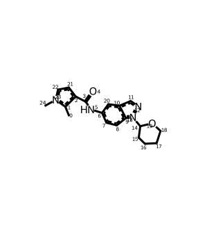 Cc1c(C(=O)Nc2ccc3c(cnn3C3CCCCO3)c2)ccn1C